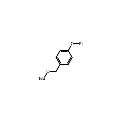 CCOc1ccc(COC(C)(C)C)cc1